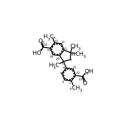 Cc1ccc(C2(C)CC(C)(C)c3cc(C)c(C(=O)O)cc32)cc1C(=O)O